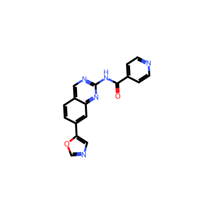 O=C(Nc1ncc2ccc(-c3cnco3)cc2n1)c1ccncc1